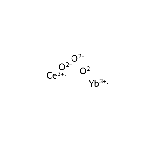 [Ce+3].[O-2].[O-2].[O-2].[Yb+3]